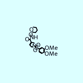 COc1ccc(S(=O)(=O)N2CC=C(C(=O)NOC3CCCCO3)C2)cc1OC